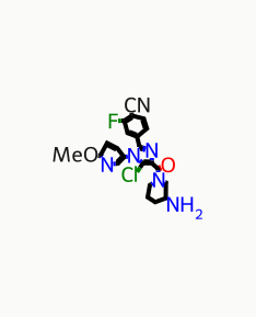 COc1ccc(-n2c(-c3ccc(C#N)c(F)c3)nc(C(=O)N3CCC[C@H](N)C3)c2Cl)cn1